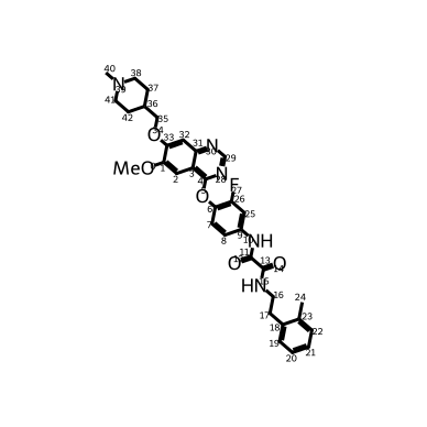 COc1cc2c(Oc3ccc(NC(=O)C(=O)NCCc4ccccc4C)cc3F)ncnc2cc1OCC1CCN(C)CC1